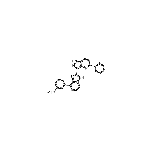 COc1cccc(-c2nccc3[nH]c(-c4n[nH]c5ccc(-c6ccccn6)nc45)nc23)c1